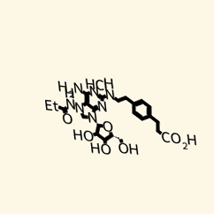 CCC(=O)NN1CN([C@@H]2O[C@H](CO)C(O)C2O)c2nc(NCCc3ccc(CCC(=O)O)cc3)nc(N)c21.Cl